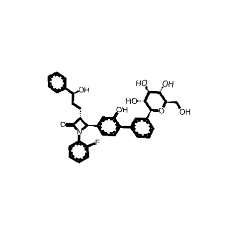 O=C1[C@H](CC[C@H](O)c2ccccc2)[C@@H](c2ccc(-c3cccc([C@@H]4O[C@H](CO)[C@@H](O)[C@H](O)[C@H]4O)c3)c(O)c2)N1c1ccccc1F